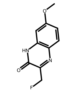 COc1ccc2nc(CF)c(=O)[nH]c2c1